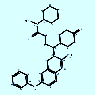 CN(C(=O)CC[C@@H](C1CCC(=O)CC1)N1Cc2cc(Oc3ccccc3)ccc2N=C1N)C1CCCCC1